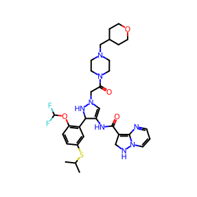 CC(C)Sc1ccc(OC(F)F)c(C2NN(CC(=O)N3CCN(CC4CCOCC4)CC3)C=C2NC(=O)C2=C3N=CC=CN3NC2)c1